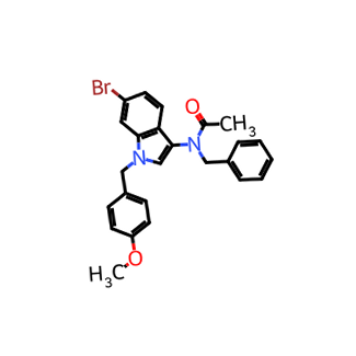 COc1ccc(Cn2cc(N(Cc3ccccc3)C(C)=O)c3ccc(Br)cc32)cc1